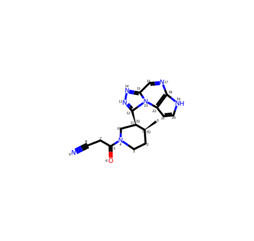 C[C@H]1CCN(C(=O)CC#N)C[C@H]1c1nnc2cnc3[nH]ccc3n12